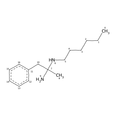 CCCCCCNC(C)(N)Cc1ccccc1